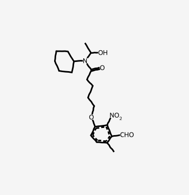 Cc1ccc(OCCCCC(=O)N(C(C)O)C2CCCCC2)c([N+](=O)[O-])c1C=O